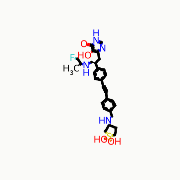 CC(CF)NC[C@@H](Cc1nc[nH]c(=O)c1O)c1ccc(C#Cc2ccc(CNC3CCS(O)(O)C3)cc2)cc1